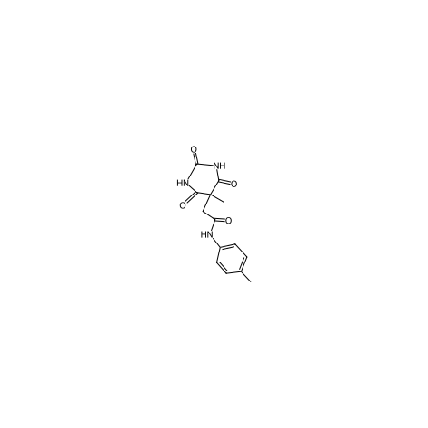 Cc1ccc(NC(=O)CC2(C)C(=O)NC(=O)NC2=O)cc1